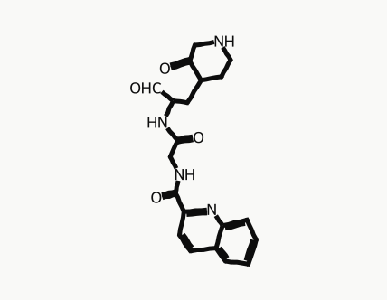 O=CC(CC1CCNCC1=O)NC(=O)CNC(=O)c1ccc2ccccc2n1